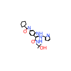 CN(C(=O)C1CCCCC1)c1ccc2c(C(=O)NCC(C)(C)O)c(NCc3ccccn3)[nH]c2c1